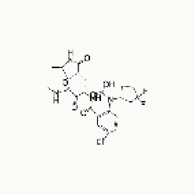 CNC(=O)C(=O)[C@H](C[C@@H]1C[C@@H](C)NC1=O)NC(=O)c1cc(Cl)ccc1N(C(=O)O)C1CCC(F)(F)C1